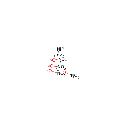 O=[N+]([O-])[O-].O=[N+]([O-])[O-].O=[N+]([O-])[O-].O=[N+]([O-])[O-].[Fe+2].[Ni+2]